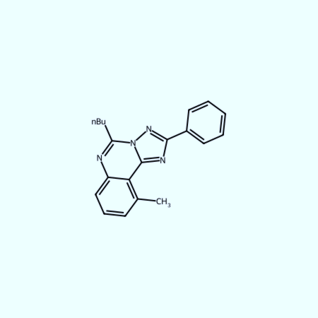 CCCCc1nc2cccc(C)c2c2nc(-c3ccccc3)nn12